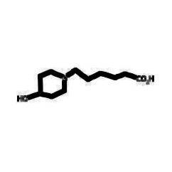 O=C(O)CCCCCN1CCC(O)CC1